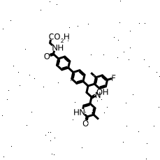 Cc1cc(F)ccc1C(C/C(=N\O)c1c[nH]c(=O)c(C)c1)c1ccc(-c2ccc(C(=O)NCC(=O)O)cc2)cc1